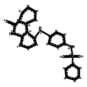 O=c1[nH]c2nccc(Nc3ccc(NS(=O)(=O)c4ccccc4)cc3)c2c2ccccc12